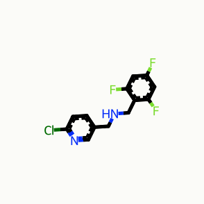 Fc1cc(F)c(CNCc2ccc(Cl)nc2)c(F)c1